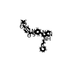 CC(C)(C)OC(=O)N1CCN(C(=O)c2nc3ccc(-c4cc(NCCCN5CCCCC5)c5cnccc5n4)cc3s2)CC1